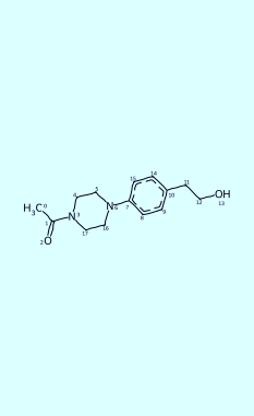 CC(=O)N1CCN(c2ccc(CCO)cc2)CC1